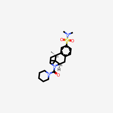 CN(C)S(=O)(=O)c1ccc2c(c1)[C@]1(C)CCN(C(=O)N3CCCCC3)[C@H](C2)C1(C)C